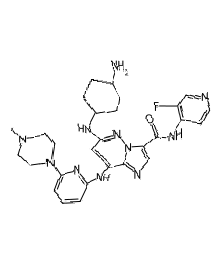 CN1CCN(c2cccc(Nc3cc(NC4CCC(N)CC4)nn4c(C(=O)Nc5ccncc5F)cnc34)n2)CC1